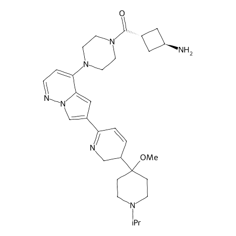 COC1(C2C=CC(c3cc4c(N5CCN(C(=O)[C@H]6C[C@H](N)C6)CC5)ccnn4c3)=NC2)CCN(C(C)C)CC1